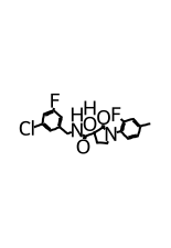 Cc1ccc(N2CC[C@](O)(C(=O)NCc3cc(F)cc(Cl)c3)C2=O)c(F)c1